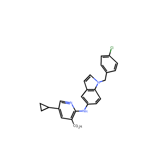 O=C(O)c1cc(C2CC2)cnc1Nc1ccc2c(ccn2Cc2ccc(Cl)cc2)c1